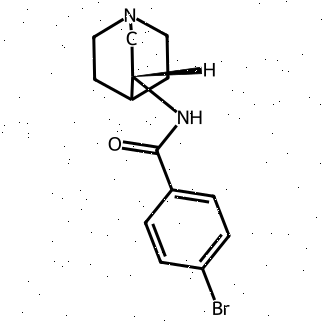 O=C(N[C@H]1CN2CCC1CC2)c1ccc(Br)cc1